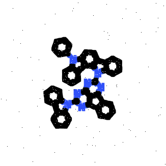 c1ccc(-n2c3ccccc3c3c2ccc2c4ccccc4n(-c4nc5c6c(nc(-n7c8ccccc8c8ccccc87)nc6n4)-c4ccccc4-5)c23)cc1